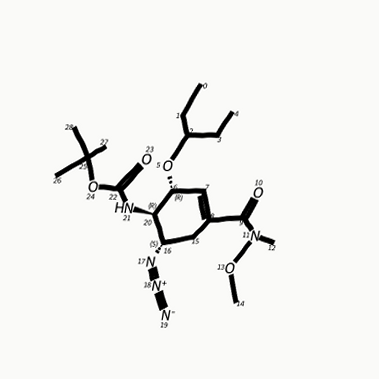 CCC(CC)O[C@@H]1C=C(C(=O)N(C)OC)C[C@H](N=[N+]=[N-])[C@H]1NC(=O)OC(C)(C)C